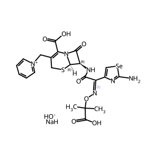 CC(C)(O/N=C(\C(=O)N[C@@H]1C(=O)N2C(C(=O)O)=C(C[n+]3ccccc3)CS[C@H]12)c1c[se]c(N)n1)C(=O)O.[NaH].[OH-]